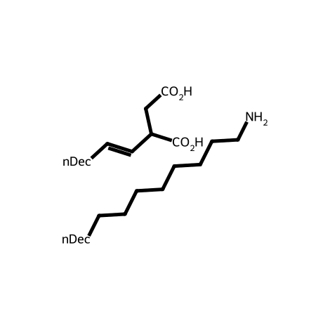 CCCCCCCCCCC=CC(CC(=O)O)C(=O)O.CCCCCCCCCCCCCCCCCCN